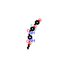 CCCCOC(=O)NC1CCC(CNC(=O)c2cc(F)c(OCc3ccc(OC)cc3)c(F)c2)CC1